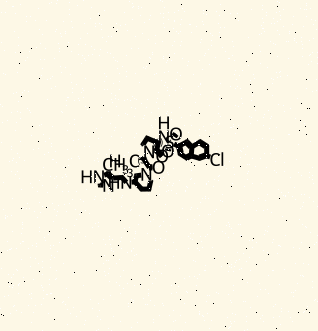 Cc1[nH]cnc1CNC1CCCN(C(=O)[C@H](C)N2CC[C@H](NS(=O)(=O)c3ccc4cc(Cl)ccc4c3)C2=O)C1